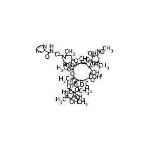 CO/N=C1\C[C@@H](C)O[C@@H](O[C@@H]2[C@@H](C)[C@H](O[C@H]3CC(C)N([C@H]4C[C@H](NC(=O)c5cnccn5)C4)C[C@H](C)O3)[C@@H](C)C(=O)O[C@H]([C@@H](C)CO[C@@H]3O[C@H](C)[C@@H](O)[C@@H](OC)[C@H]3OC)[C@H](C)[C@@H](OC(=O)CC(C)C)[C@@H](C)C(=O)[C@@](C)(O)C[C@@H]2C)[C@@H]1O